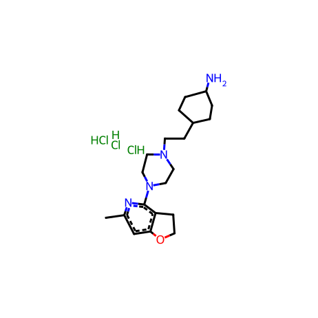 Cc1cc2c(c(N3CCN(CCC4CCC(N)CC4)CC3)n1)CCO2.Cl.Cl.Cl